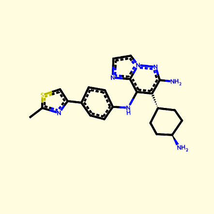 Cc1nc(-c2ccc(Nc3c4nccn4nc(N)c3[C@H]3CC[C@H](N)CC3)cc2)cs1